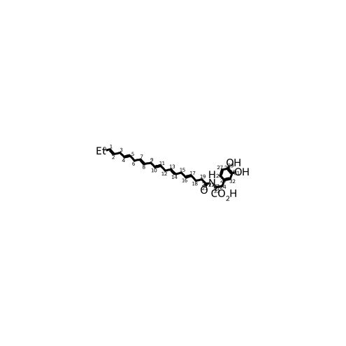 CCC=CCC=CCC=CCC=CCC=CCC=CCCC(=O)N[C@@H](Cc1ccc(O)c(O)c1)C(=O)O